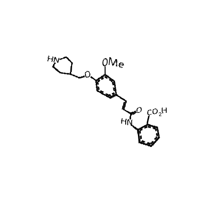 COc1cc(C=CC(=O)Nc2ccccc2C(=O)O)ccc1OCC1CCNCC1